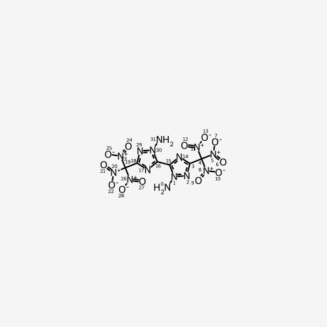 Nn1nc(C([N+](=O)[O-])([N+](=O)[O-])[N+](=O)[O-])nc1-c1nc(C([N+](=O)[O-])([N+](=O)[O-])[N+](=O)[O-])nn1N